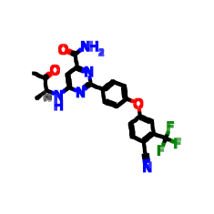 CC(=O)[C@H](C)Nc1cc(C(N)=O)nc(-c2ccc(Oc3ccc(C#N)c(C(F)(F)F)c3)cc2)n1